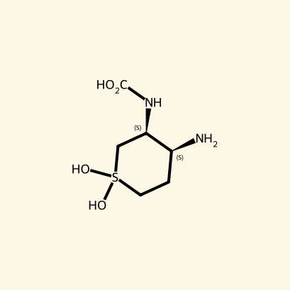 N[C@H]1CCS(O)(O)C[C@H]1NC(=O)O